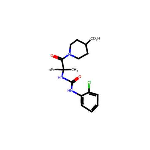 CCCC(C)(NC(=O)Nc1ccccc1Cl)C(=O)N1CCC(C(=O)O)CC1